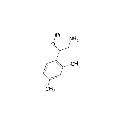 Cc1ccc(C(CN)OC(C)C)c(C)c1